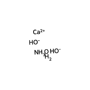 N.O.[Ca+2].[OH-].[OH-]